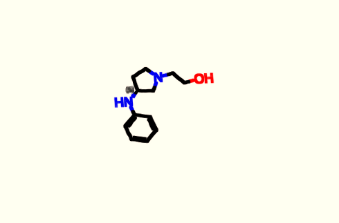 OCCN1CC[C@H](Nc2ccccc2)C1